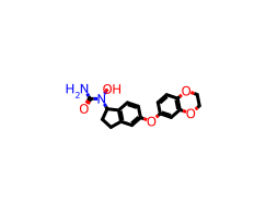 NC(=O)N(O)C1CCc2cc(Oc3ccc4c(c3)OCCO4)ccc21